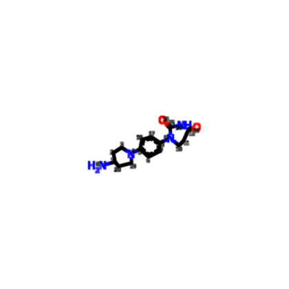 NC1CCN(c2ccc(N3CCC(=O)NC3=O)cc2)CC1